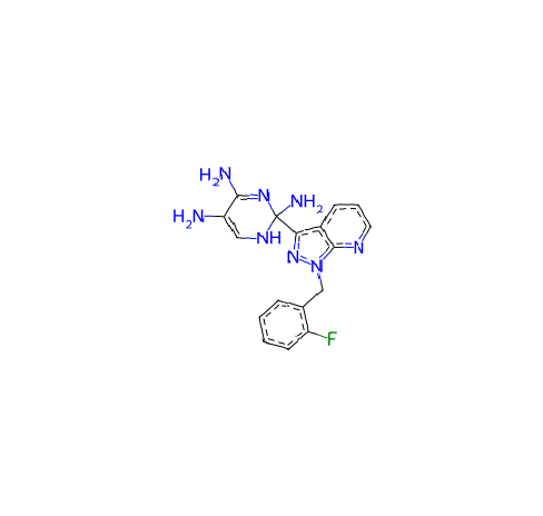 NC1=CNC(N)(c2nn(Cc3ccccc3F)c3ncccc23)N=C1N